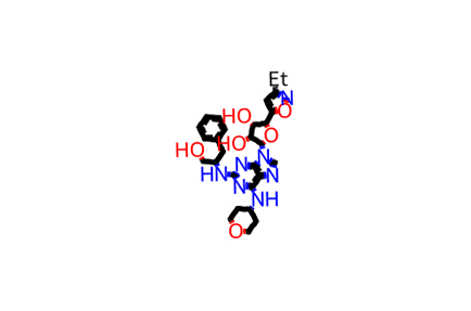 CCc1cc(C2OC(n3cnc4c(NC5CCOCC5)nc(NC(CO)Cc5ccccc5)nc43)C(O)C2O)on1